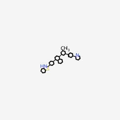 Cc1cc(-c2ccc(-c3ccccn3)cc2)cc(-c2ccc(-c3ccc(C4Nc5ccccc5S4)cc3)c3ccccc23)c1